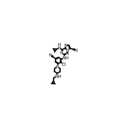 N#Cc1cc(Nc2nc(NC3CC3)c3ncc(C#N)n3n2)c(Cl)c(N2CCC(NCC3CC3)CC2)c1